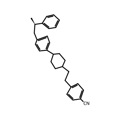 C[C@H](Cc1ccc(C2CCC(CCc3ccc(C#N)cc3)CC2)cc1)c1ccccc1